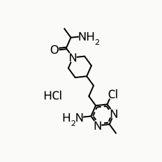 Cc1nc(N)c(CCC2CCN(C(=O)C(C)N)CC2)c(Cl)n1.Cl